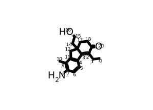 CCC1=C2c3ccc(N)c(C)c3CC2(CCO)CCC1=O